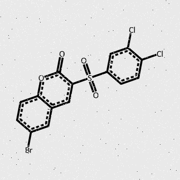 O=c1oc2ccc(Br)cc2cc1S(=O)(=O)c1ccc(Cl)c(Cl)c1